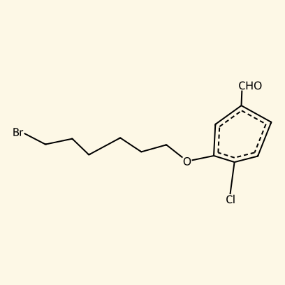 O=Cc1ccc(Cl)c(OCCCCCCBr)c1